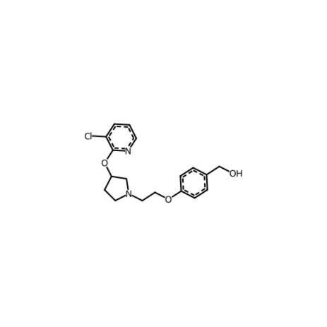 OCc1ccc(OCCN2CCC(Oc3ncccc3Cl)C2)cc1